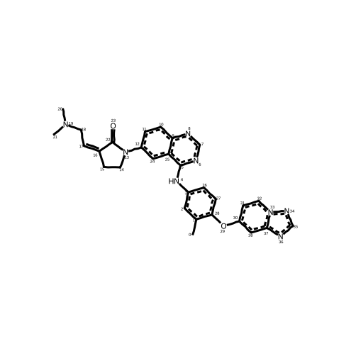 Cc1cc(Nc2ncnc3ccc(N4CCC(=CCN(C)C)C4=O)cc23)ccc1Oc1ccn2ncnc2c1